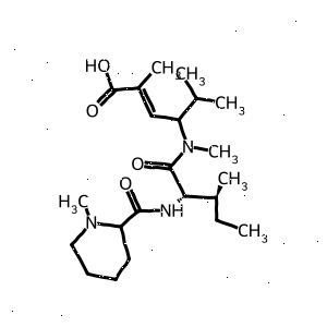 CC[C@H](C)[C@H](NC(=O)C1CCCCN1C)C(=O)N(C)C(C=C(C)C(=O)O)C(C)C